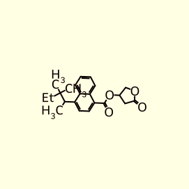 CCC(C)(C)C(C)c1ccc(C(=O)OC2COC(=O)C2)c2ccccc12